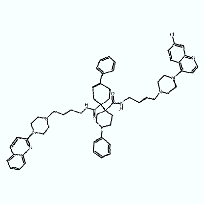 O=C(NCCCCN1CCN(c2ccc3ccccc3n2)CC1)C1(C2(C(=O)NCCCCN3CCN(c4ccnc5cc(Cl)ccc45)CC3)CCC(c3ccccc3)CC2)CCC(c2ccccc2)CC1